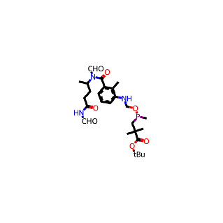 Cc1c(NCOP(C)CC(C)(C)C(=O)OC(C)(C)C)cccc1C(=O)N(C=O)C(C)CCC(=O)NC=O